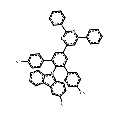 N#Cc1ccc(-c2cc(-c3cc(-c4ccccc4)nc(-c4ccccc4)n3)cc(-c3ccc(C#N)cc3)c2-n2c3ccccc3c3cc(C(F)(F)F)ccc32)cc1